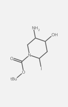 CC(C)(C)OC(=O)N1CC(N)C(O)CC1I